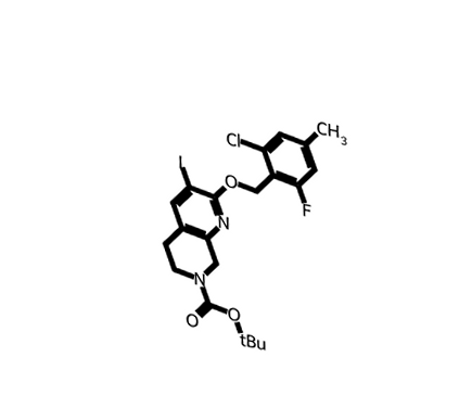 Cc1cc(F)c(COc2nc3c(cc2I)CCN(C(=O)OC(C)(C)C)C3)c(Cl)c1